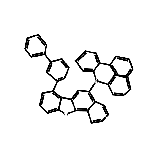 c1ccc(-c2cccc(-c3cccc4oc5c6ccccc6c(N(c6ccccc6)c6ccccc6-c6ccccc6)cc5c34)c2)cc1